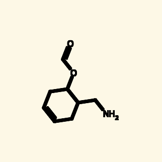 NCC1CC=CCC1OC=O